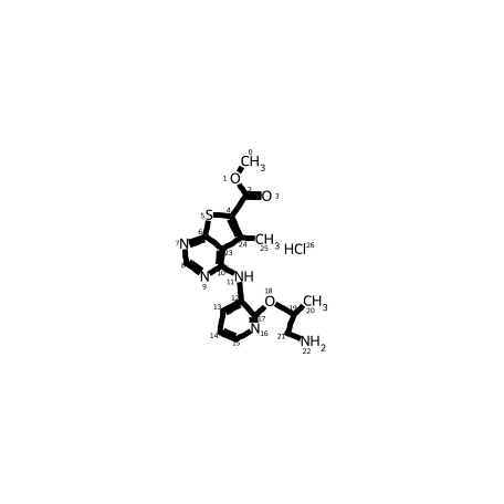 COC(=O)c1sc2ncnc(Nc3cccnc3OC(C)CN)c2c1C.Cl